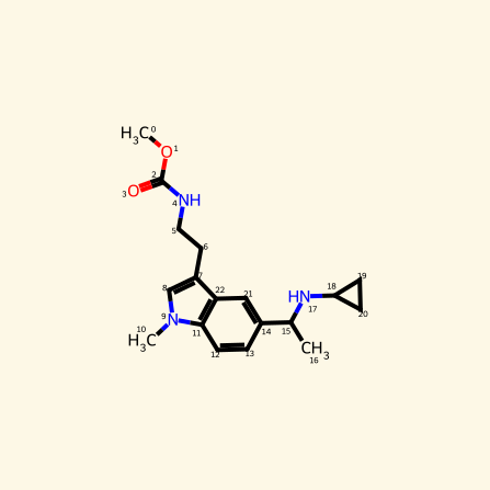 COC(=O)NCCc1cn(C)c2ccc(C(C)NC3CC3)cc12